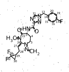 C=NN1CC[C@@H](NC(=O)c2ncn(Cc3ccc(F)cc3)n2)C(=O)N(C)/C1=C/CC1CC1(F)F